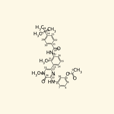 CC(=O)Oc1cccc(Nc2nc(-c3cccc(NC(=O)c4ccc(C(C)(C)C)cc4)c3C)cn(C)c2=O)c1